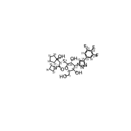 O=C([C@@H](S[C@@H]1O[C@H](CO)[C@H](O)[C@H](n2cc(-c3cc(F)c(F)c(F)c3)nn2)[C@H]1O)C1(O)CCCC1)N1CCC1